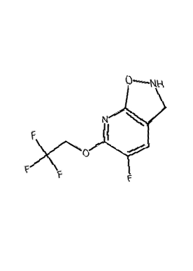 Fc1cc2c(nc1OCC(F)(F)F)ONC2